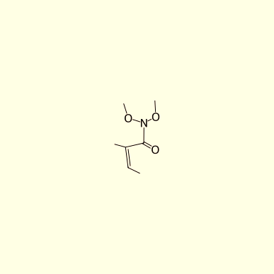 CC=C(C)C(=O)N(OC)OC